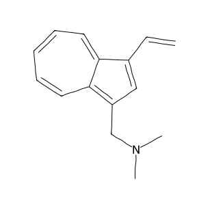 C=Cc1cc(CN(C)C)c2cccccc1-2